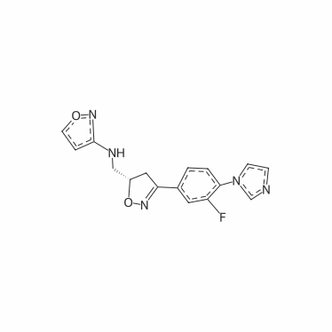 Fc1cc(C2=NO[C@H](CNc3ccon3)C2)ccc1-n1ccnc1